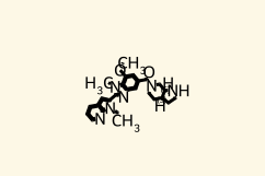 CCn1c(-c2nc3cc(C(=O)N4CC[C@@H]5CCN[C@@H]5C4)cc(OC)c3n2C)cc2cccnc21